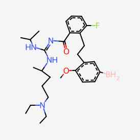 Bc1ccc(OC)c(CCc2c(F)cccc2C(=O)/N=C(/NC(C)C)NC(C)CCCN(CC)CC)c1